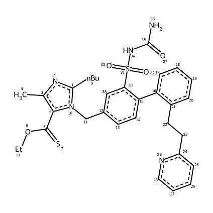 CCCCc1nc(C)c(C(=S)OCC)n1Cc1ccc(-c2ccccc2CCc2ccccn2)c(S(=O)(=O)NC(N)=O)c1